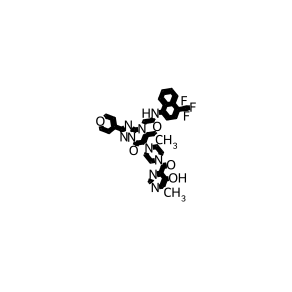 CCc1c(N2CCN(C(=O)c3ncnc(C)c3O)CC2)c(=O)n2nc(C3=CCOCC3)nc2n1CC(=O)Nc1ccc(C(F)(F)F)c2ccccc12